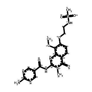 COc1c(OCCNS(C)(=O)=O)ccc2c(=O)n(C)c(NC(=O)c3cnc(N)nc3)nc12